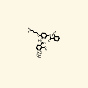 COc1ccccc1C(=O)Nc1ccc(OCCCN(C)C)c(NC(=O)c2ccccc2OC)c1.Cl.Cl.Cl